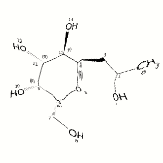 CC(O)C[C@H]1O[C@H](CO)[C@H](O)[C@H](O)[C@H]1O